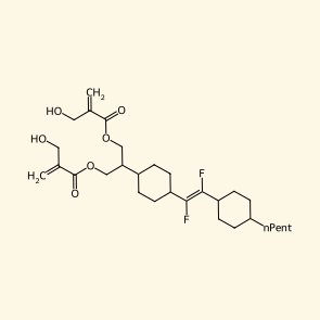 C=C(CO)C(=O)OCC(COC(=O)C(=C)CO)C1CCC(/C(F)=C(\F)C2CCC(CCCCC)CC2)CC1